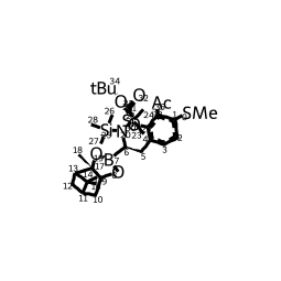 CSc1ccc(C[C@@H](B2OC3CC4CC(C4(C)C)[C@]3(C)O2)N([Si](C)(C)C)[Si](C)(C)C)c(OC(=O)OC(C)(C)C)c1C(C)=O